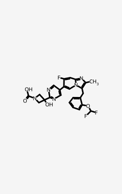 Cc1nc2cc(F)c(-c3cnc(C4(O)CN(C(=O)O)C4)nc3)cn2c1Cc1ccccc1OC(F)F